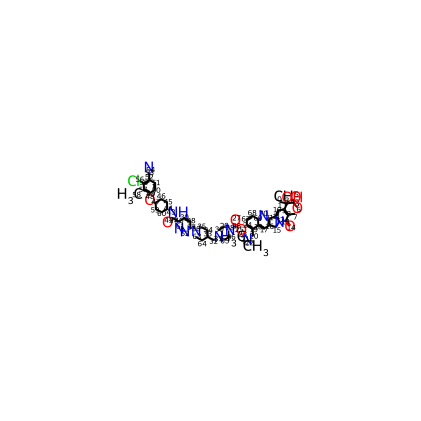 CC[C@@]1(O)C(=O)OCc2c1cc1n(c2=O)Cc2cc3c(CN(C)C)c(OC(=O)N4CCN(CC5CCN(c6ccc(C(=O)N[C@H]7CC[C@H](Oc8ccc(C#N)c(Cl)c8C)CC7)nn6)CC5)CC4)ccc3nc2-1